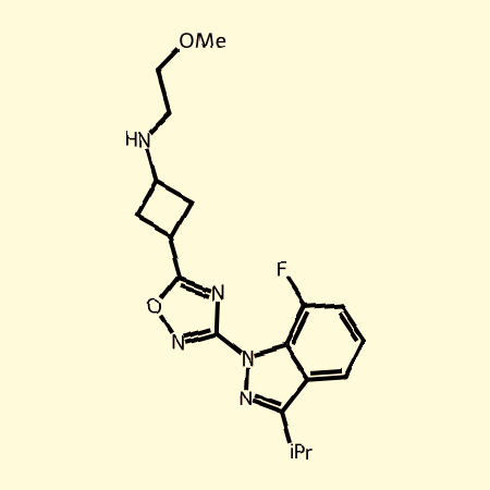 COCCNC1CC(c2nc(-n3nc(C(C)C)c4cccc(F)c43)no2)C1